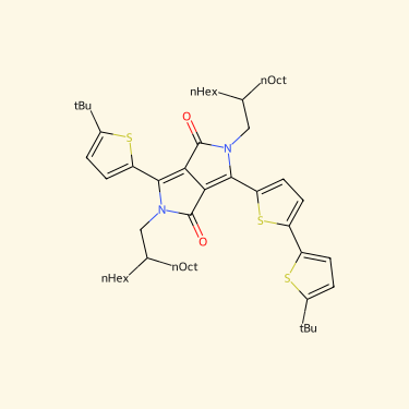 CCCCCCCCC(CCCCCC)CN1C(=O)C2=C(c3ccc(C(C)(C)C)s3)N(CC(CCCCCC)CCCCCCCC)C(=O)C2=C1c1ccc(-c2ccc(C(C)(C)C)s2)s1